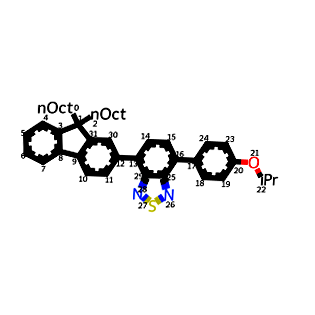 CCCCCCCCC1(CCCCCCCC)c2ccccc2-c2ccc(-c3ccc(-c4ccc(OC(C)C)cc4)c4nsnc34)cc21